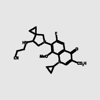 COc1c(N2CC(NCCC#N)C3(CC3)C2)c(F)cc2c(=O)c(C(=O)O)cn(C3CC3)c12